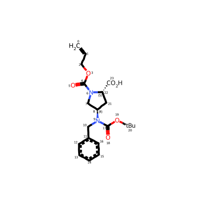 C=CCOC(=O)N1C[C@H](N(Cc2ccccc2)C(=O)OC(C)(C)C)C[C@H]1C(=O)O